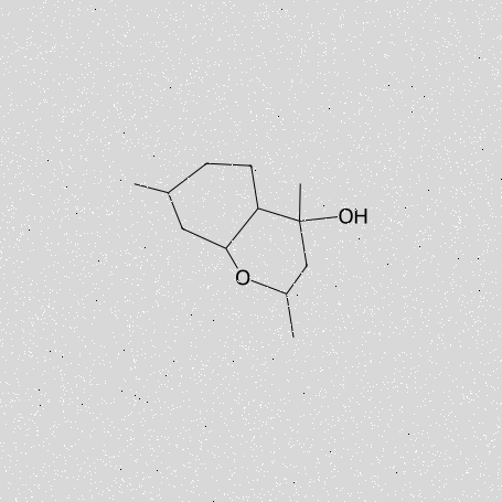 CC1CCC2C(C1)OC(C)CC2(C)O